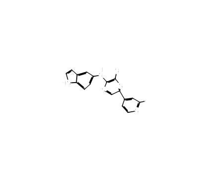 Nc1nc(-c2ccnc(Cl)c2)cnc1Nc1ccc2[nH]ccc2c1